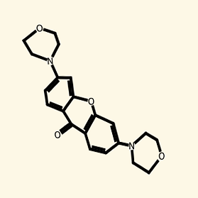 O=c1c2ccc(N3CCOCC3)cc2oc2cc(N3CCOCC3)ccc12